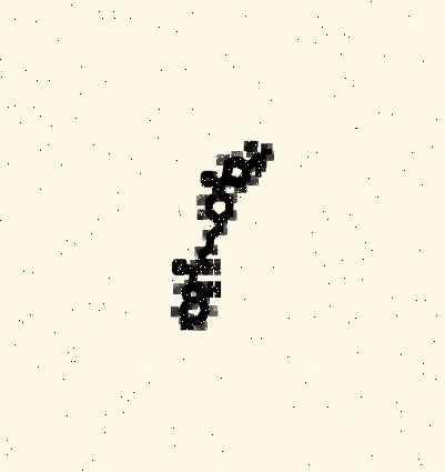 O=C(NCCCCC1CCN(C(=O)c2ccc(C(F)(F)F)cc2)CC1)C1CC2CN=CCC2N1